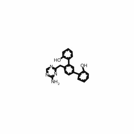 Nc1ncnc(Cc2ccc(-c3ccccc3O)cc2-c2ccccc2O)n1